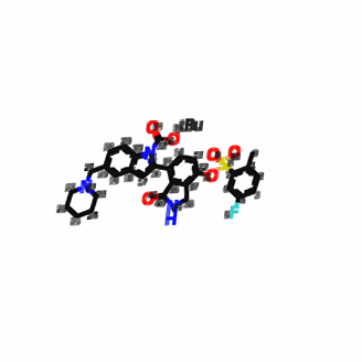 Cc1ccc(F)cc1S(=O)(=O)Oc1ccc(-c2cc3cc(CN4CCCCC4)ccc3n2C(=O)OC(C)(C)C)c2c1CNC2=O